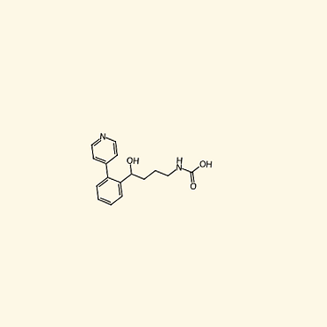 O=C(O)NCCCC(O)c1ccccc1-c1ccncc1